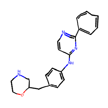 c1ccc(-c2nccc(Nc3ccc(CC4CNCCO4)cc3)n2)cc1